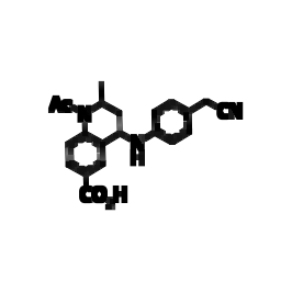 CC(=O)N1c2ccc(C(=O)O)cc2C(Nc2ccc(CC#N)cc2)CC1C